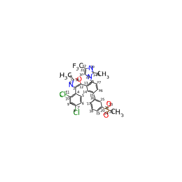 Cc1nc(-c2ccc(Cl)cc2Cl)c(-c2cc(-c3cccc(S(C)(=O)=O)c3)ccc2-n2cc(C(F)(F)F)nc2C)o1